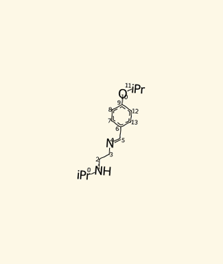 CC(C)NCC/N=C/c1ccc(OC(C)C)cc1